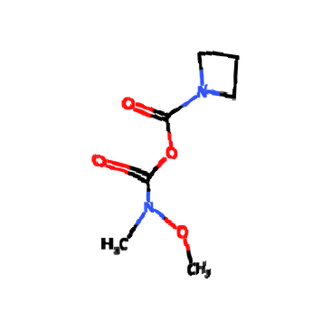 CON(C)C(=O)OC(=O)N1CCC1